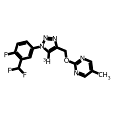 [3H]c1c(COc2ncc(C)cn2)nnn1-c1ccc(F)c(C(F)F)c1